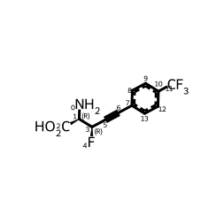 N[C@H](C(=O)O)[C@H](F)C#Cc1ccc(C(F)(F)F)cc1